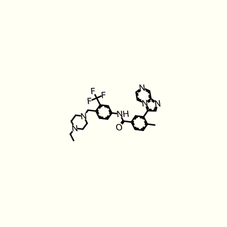 CCN1CCN(Cc2ccc(NC(=O)c3ccc(C)c(-c4cnc5cnccn45)c3)cc2C(F)(F)F)CC1